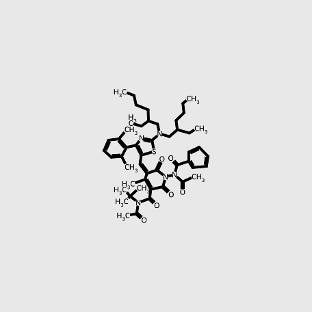 CCCCC(CC)CN(CC(CC)CCCC)c1nc(-c2c(C)cccc2C)c(/C=C2\C(=O)N(N(C(C)=O)C(=O)c3ccccc3)C(=O)C(C(=O)N(C(C)=O)C(C)(C)C)=C2C)s1